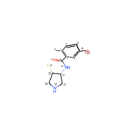 Cc1ccc(Br)cc1C(=O)N[C@@H]1CNC[C@@H]1F